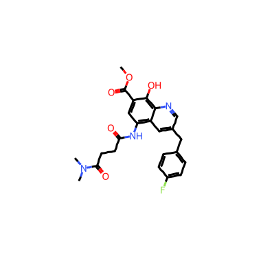 COC(=O)c1cc(NC(=O)CCC(=O)N(C)C)c2cc(Cc3ccc(F)cc3)cnc2c1O